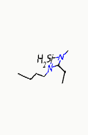 CCCCN1[SiH2]N(C)C1CC